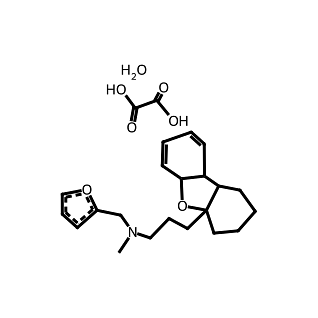 CN(CCCC12CCCCC1C1C=CC=CC1O2)Cc1ccco1.O.O=C(O)C(=O)O